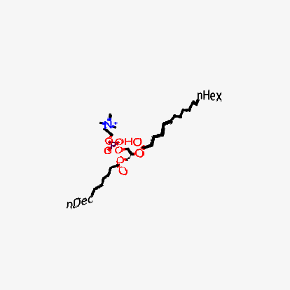 CCCCCC/C=C/CCCCCCCCCC(=O)O[C@H](COC(=O)CCCCCCCCCCCCCCC)COP(=O)(O)OCC[N+](C)(C)C